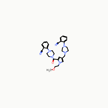 COCCn1cc(CN2CCN(c3ccccc3C#N)CC2)cc1C(=O)N1CCN(c2ccccc2C#N)CC1